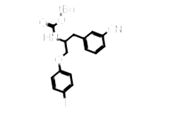 CC(C)(C)OC(=O)NC(COc1ccc(I)cc1)Cc1cccc(C#N)c1